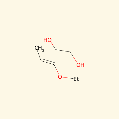 CC=COCC.OCCO